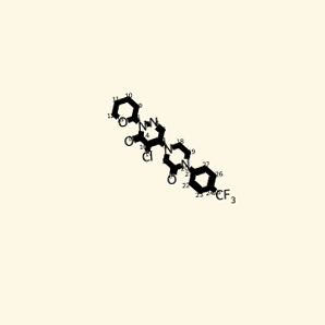 O=C1CN(c2cnn(C3CCCCO3)c(=O)c2Cl)CCN1c1ccc(C(F)(F)F)cc1